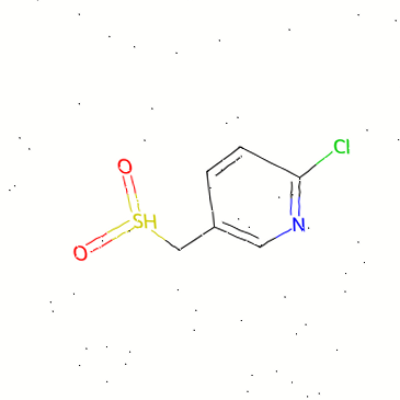 O=[SH](=O)Cc1ccc(Cl)nc1